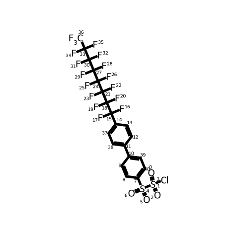 O=S(=O)(Cl)S(=O)(=O)c1ccc(-c2ccc(C(F)(F)C(F)(F)C(F)(F)C(F)(F)C(F)(F)C(F)(F)C(F)(F)C(F)(F)F)cc2)cc1